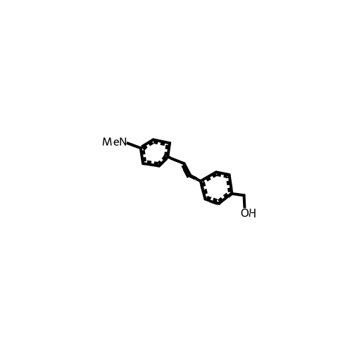 CNc1ccc(/C=C/c2ccc(CO)cc2)cc1